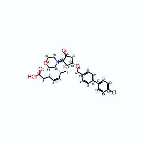 O=C(O)CC/C=C\CC[C@H]1[C@@H](OCc2ccc(-c3ccc(Cl)cc3)cc2)CC(=O)[C@@H]1N1CCOCC1